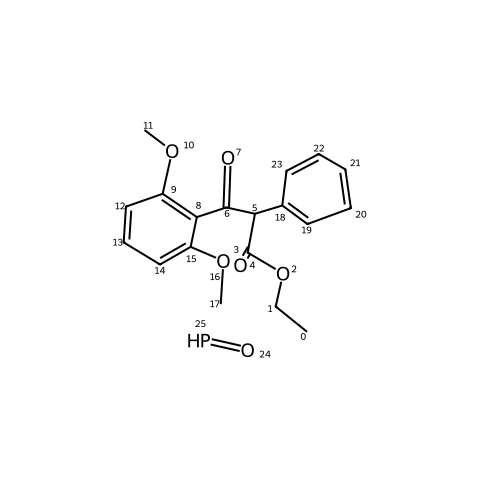 CCOC(=O)C(C(=O)c1c(OC)cccc1OC)c1ccccc1.O=P